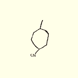 [C-]#[N+]C1CCC(C)CC1